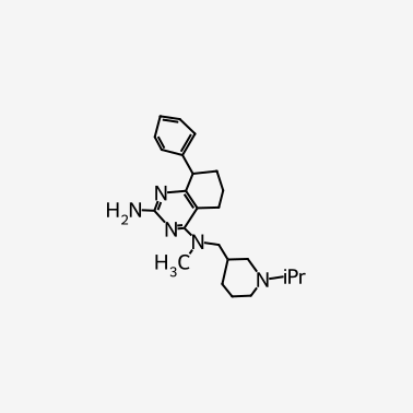 CC(C)N1CCCC(CN(C)c2nc(N)nc3c2CCCC3c2ccccc2)C1